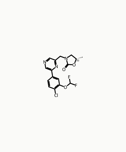 C[C@H]1CN(Cc2cncc(-c3ccc(Cl)c(OC(F)F)c3)n2)C(=O)O1